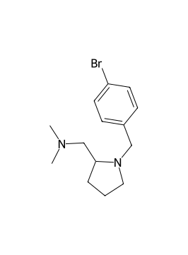 CN(C)CC1CCCN1Cc1ccc(Br)cc1